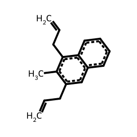 C=CCc1cc2ccccc2c(CC=C)c1C